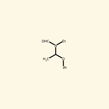 CCN(C=O)C(C)OC(C)C